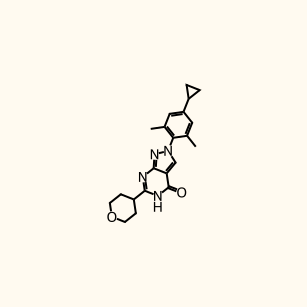 Cc1cc(C2CC2)cc(C)c1-n1cc2c(=O)[nH]c(C3CCOCC3)nc2n1